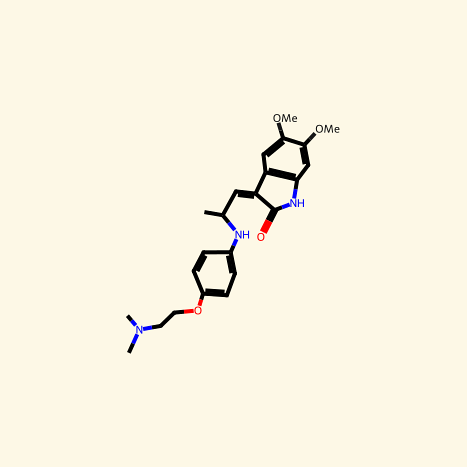 COc1cc2c(cc1OC)C(=CC(C)Nc1ccc(OCCN(C)C)cc1)C(=O)N2